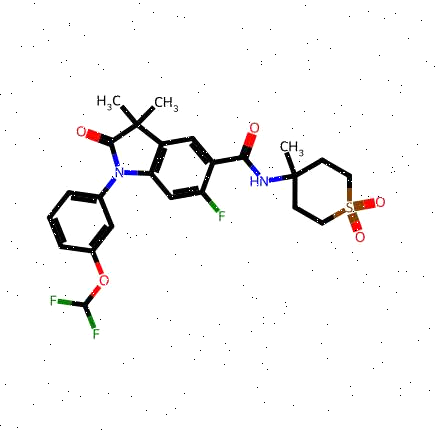 CC1(NC(=O)c2cc3c(cc2F)N(c2cccc(OC(F)F)c2)C(=O)C3(C)C)CCS(=O)(=O)CC1